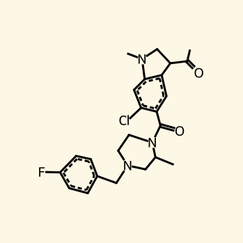 CC(=O)C1CN(C)c2cc(Cl)c(C(=O)N3CCN(Cc4ccc(F)cc4)CC3C)cc21